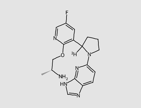 [2H]C1(c2cc(F)cnc2OC[C@@H](C)N)CCCN1c1ccc2nc[nH]c2n1